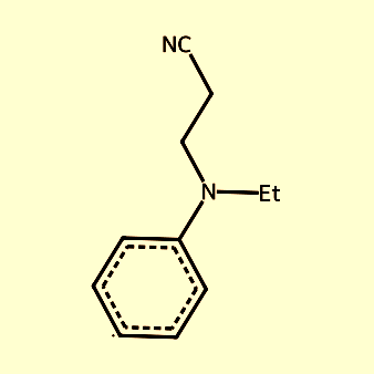 CCN(CCC#N)c1cc[c]cc1